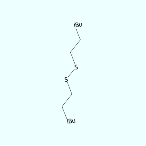 CCC(C)CCSSCCC(C)CC